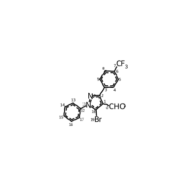 O=Cc1c(-c2ccc(C(F)(F)F)cc2)nn(-c2ccccc2)c1Br